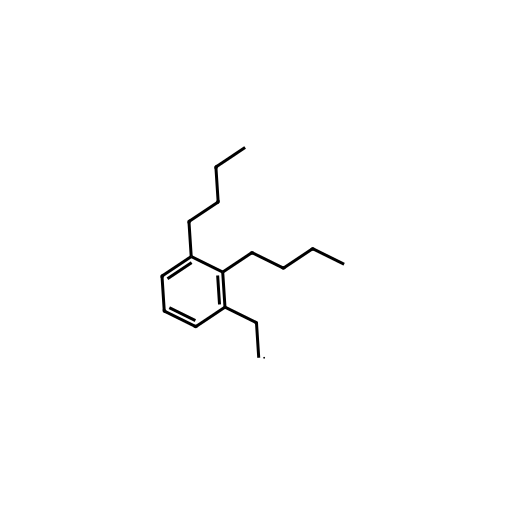 [CH2]Cc1cccc(CCCC)c1CCCC